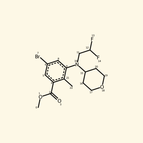 COC(=O)c1cc(Br)cc(N(CC(F)F)C2CCOCC2)c1C